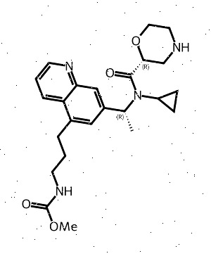 COC(=O)NCCCc1cc([C@@H](C)N(C(=O)[C@H]2CNCCO2)C2CC2)cc2ncccc12